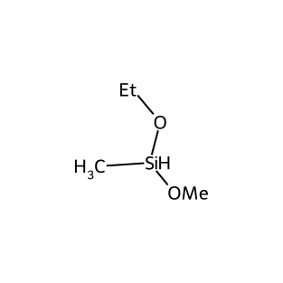 CCO[SiH](C)OC